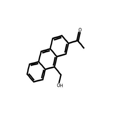 CC(=O)c1ccc2cc3ccccc3c(CO)c2c1